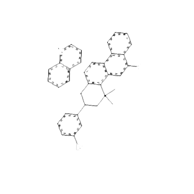 CC1(C)CC(c2cccc(Br)c2)Cc2ccc3c(cc(Cl)c4ccccc43)c21.c1ccc2ncccc2c1